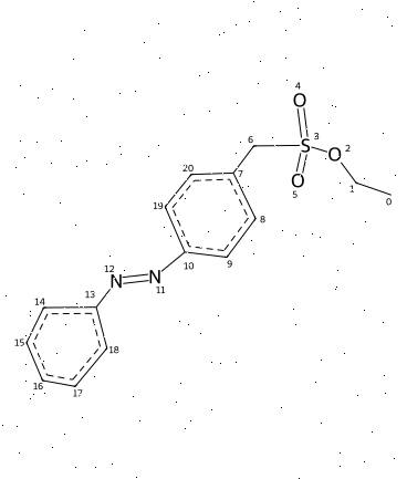 CCOS(=O)(=O)Cc1ccc(N=Nc2ccccc2)cc1